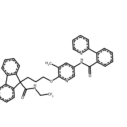 Cc1cc(NC(=O)c2ccccc2-c2ccccn2)cnc1OCCCC1(C(=O)NCC(F)(F)F)c2ccccc2-c2ccccc21